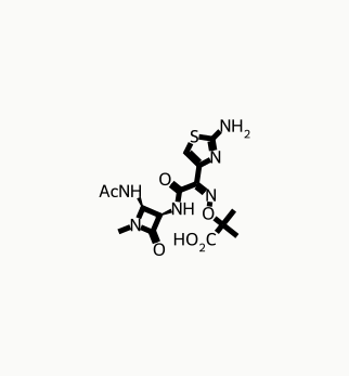 CC(=O)N[C@H]1[C@@H](NC(=O)C(=NOC(C)(C)C(=O)O)c2csc(N)n2)C(=O)N1C